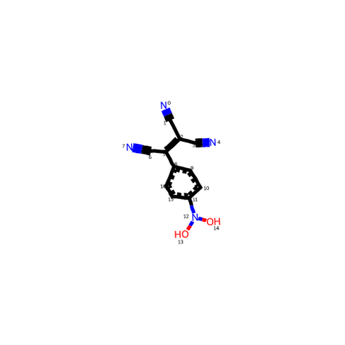 N#CC(C#N)=C(C#N)c1ccc(N(O)O)cc1